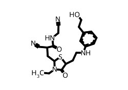 CCN1C(=O)C(CCNc2cccc(CCO)c2)SC1CC(C#N)C(=O)NCC#N